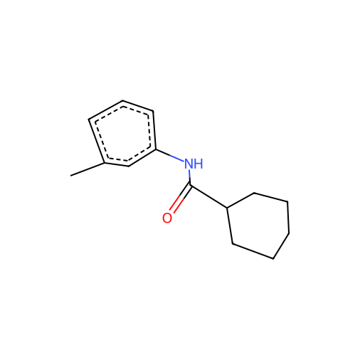 Cc1cccc(NC(=O)C2CCCCC2)c1